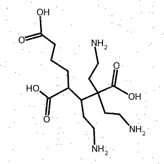 NCCC(C(CCCC(=O)O)C(=O)O)C(CCN)(CCN)C(=O)O